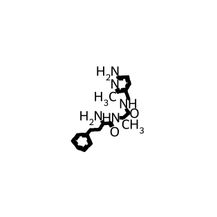 Cc1nc(N)ccc1CNC(=O)C(C)NC(=O)C(N)CCc1ccccc1